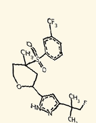 CC(C)(CF)c1cc(C2CC(C)(S(=O)(=O)c3cccc(C(F)(F)F)c3)CCO2)[nH]n1